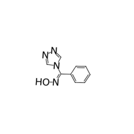 ON=C(c1ccccc1)n1cnnc1